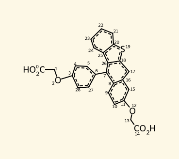 O=C(O)COc1ccc(-c2c3ccc(OCC(=O)O)cc3cc3sc4ccccc4c23)cc1